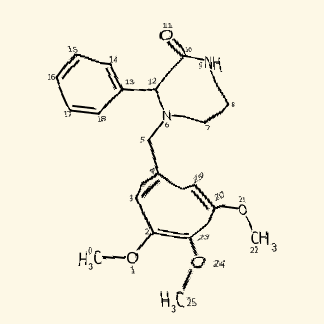 COc1cc(CN2CCNC(=O)C2c2ccccc2)cc(OC)c1OC